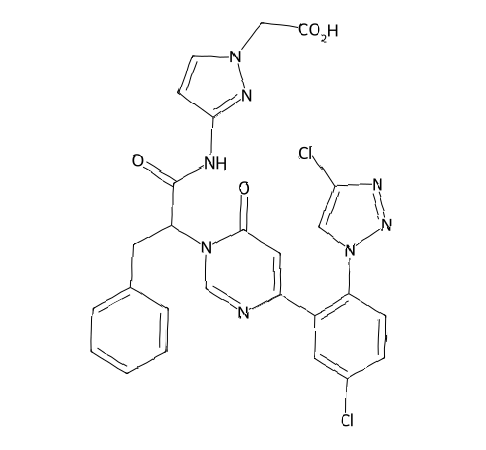 O=C(O)Cn1ccc(NC(=O)C(Cc2ccccc2)n2cnc(-c3cc(Cl)ccc3-n3cc(Cl)nn3)cc2=O)n1